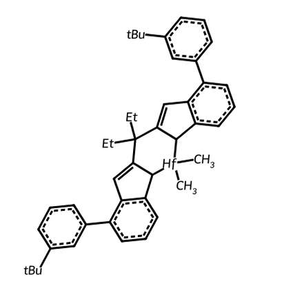 CCC1(CC)C2=Cc3c(-c4cccc(C(C)(C)C)c4)cccc3[CH]2[Hf]([CH3])([CH3])[CH]2C1=Cc1c(-c3cccc(C(C)(C)C)c3)cccc12